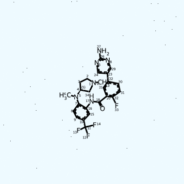 CN1CC[C@H](N(C)c2ccc(C(F)(F)F)cc2NC(=O)c2cc(-c3cnc(N)nc3)ccc2F)C1